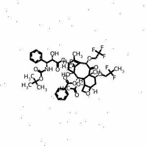 CC(=O)O[C@@]12CO[C@@H]1C[C@H](OCC(C)(F)F)[C@@]1(C)C(=O)[C@H](OCC(F)(F)F)C3=C(C)[C@@H](OC(=O)[C@H](O)[C@@H](NC(=O)OC(C)(C)C)c4ccccc4)C[C@@](O)([C@@H](OC(=O)c4ccccc4)[C@H]21)C3(C)C